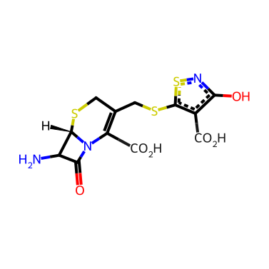 NC1C(=O)N2C(C(=O)O)=C(CSc3snc(O)c3C(=O)O)CS[C@@H]12